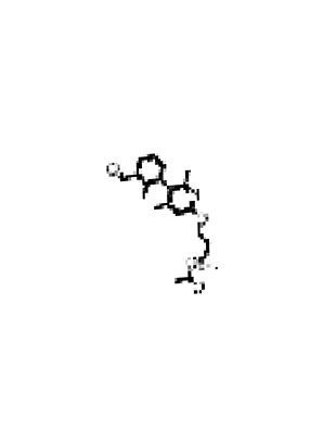 CC(=O)O[C@@H](C)CCOc1cc(C)c(-c2cccc(C=O)c2C)c(C)n1